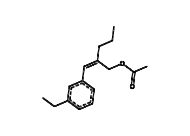 CCCC(=Cc1cccc(CC)c1)COC(C)=O